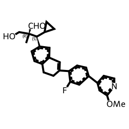 COc1cc(-c2ccc(C3=Cc4cc([C@H](C5CC5)[C@@](C)(C=O)CO)ccc4CC3)c(F)c2)ccn1